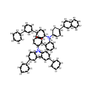 c1ccc(-n2c3ccc(-c4ccccc4)cc3c3cc(-c4ccccc4)ccc32)c(-c2ccccc2N(C2=CC=C(c3ccc4ccccc4c3)CC2)c2ccc(-c3cccc(-c4ccccc4)c3)cc2)c#1